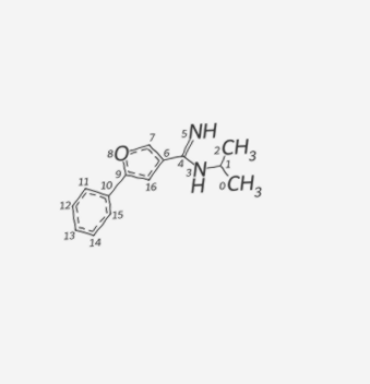 CC(C)NC(=N)c1coc(-c2ccccc2)c1